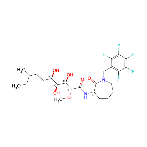 CCC(C)C=C[C@@H](O)[C@H](O)[C@@H](O)[C@@H](OC)C(=O)N[C@H]1CCCCN(Cc2c(F)c(F)c(F)c(F)c2F)C1=O